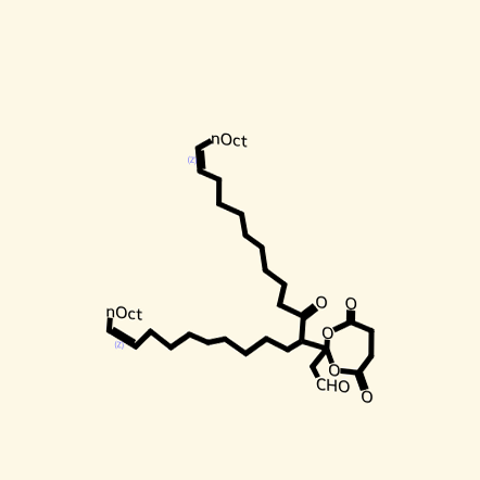 CCCCCCCC/C=C\CCCCCCCCC(=O)C(CCCCCCCC/C=C\CCCCCCCC)C1(CC=O)OC(=O)CCC(=O)O1